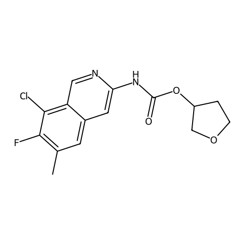 Cc1cc2cc(NC(=O)OC3CCOC3)ncc2c(Cl)c1F